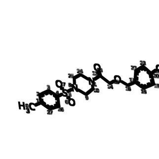 Cc1ccc(S(=O)(=O)N2CCN(C(=O)COCc3ccc(Cl)cc3)CC2)cc1